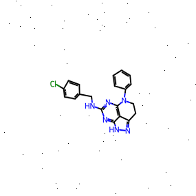 Clc1ccc(CNc2nc3c4c(n[nH]c4n2)CCN3c2ccccc2)cc1